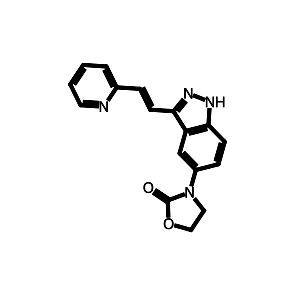 O=C1OCCN1c1ccc2[nH]nc(C=Cc3ccccn3)c2c1